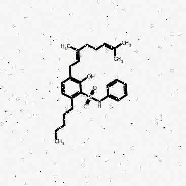 CCCCCc1ccc(C/C=C(\C)CCC=C(C)C)c(O)c1S(=O)(=O)Nc1ccccc1